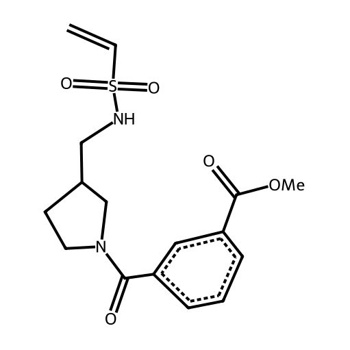 C=CS(=O)(=O)NCC1CCN(C(=O)c2cccc(C(=O)OC)c2)C1